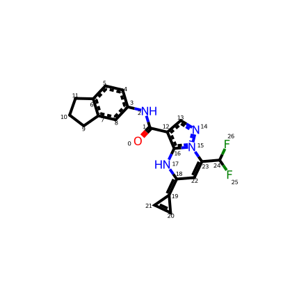 O=C(Nc1ccc2c(c1)CCC2)c1cnn2c1NC(=C1C=C1)C=C2C(F)F